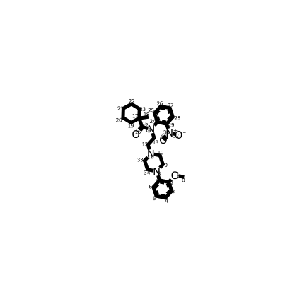 COc1ccccc1N1CCN(CCN(C(=O)C2(C)CCCCC2)c2ccccc2[N+](=O)[O-])CC1